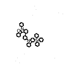 c1ccc(-n2c3cccc(-c4cccc(-n5c6ccccc6c6cc([Si](c7ccccc7)(c7ccccc7)c7ccccc7)ccc65)c4)c3c3c4ccccc4oc32)cc1